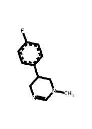 CN1C=NCC(c2ccc(F)cc2)C1